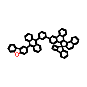 c1cc(-c2ccc3c4c(c5ccccc5c3c2)-c2c(ccc3ccccc23)C42c3ccccc3-c3ccccc32)cc(-c2c3ccccc3c(-c3ccc4oc5ccccc5c4c3)c3ccccc23)c1